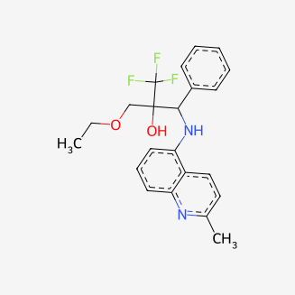 CCOCC(O)(C(Nc1cccc2nc(C)ccc12)c1ccccc1)C(F)(F)F